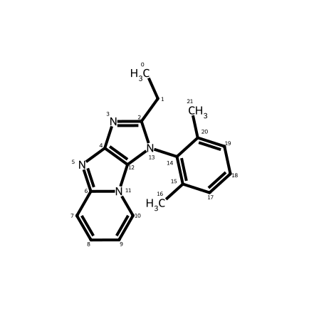 CCc1nc2nc3ccccn3c2n1-c1c(C)cccc1C